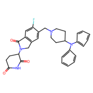 O=C1CCC(N2Cc3cc(CN4CCC(N(c5ccccc5)c5ccccc5)CC4)c(F)cc3C2=O)C(=O)N1